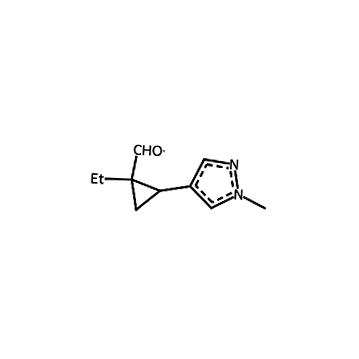 CCC1([C]=O)CC1c1cnn(C)c1